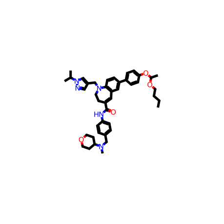 CCCCOC(C)Oc1ccc(-c2ccc3c(c2)C=C(C(=O)Nc2ccc(CN(C)C4CCOCC4)cc2)CCN3Cc2cnn(C(C)C)c2)cc1